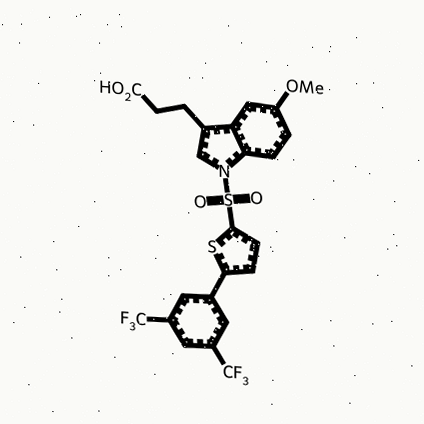 COc1ccc2c(c1)c(CCC(=O)O)cn2S(=O)(=O)c1ccc(-c2cc(C(F)(F)F)cc(C(F)(F)F)c2)s1